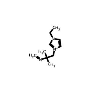 C=NC(C)(C)C[n+]1ccn(CC)c1